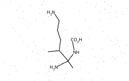 CC(CCCN)C(C)(N)NC(=O)O